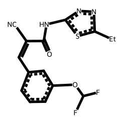 CCc1nnc(NC(=O)C(C#N)=Cc2cccc(OC(F)F)c2)s1